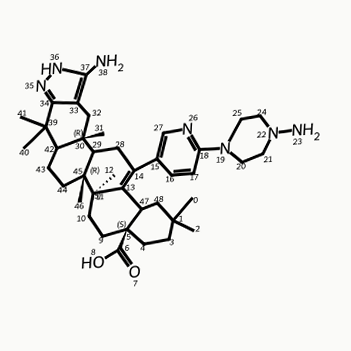 CC1(C)CC[C@]2(C(=O)O)CC[C@]3(C)C(=C(c4ccc(N5CCN(N)CC5)nc4)CC4[C@@]5(C)Cc6c(n[nH]c6N)C(C)(C)C5CC[C@]43C)C2C1